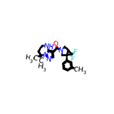 Cc1cccc(C23CN(C(=O)c4cnn5c4NCCC5(C)C)CC2C3(F)F)c1